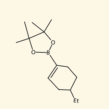 CCC1CC=C(B2OC(C)(C)C(C)(C)O2)CC1